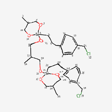 CC1CO[Si](CCc2ccc(CCl)cc2)(OCC(C)CO[Si]2(CCc3ccc(CCl)cc3)OCC(C)CO2)OC1